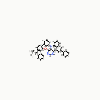 CC1(C)c2ccccc2-c2c1ccc1c2oc2c(N3c4cncnc4-c4cc(-c5ccccc5)cc5cccc3c45)cccc21